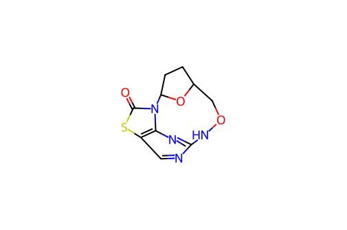 O=c1sc2cnc3nc2n1C1CCC(CON3)O1